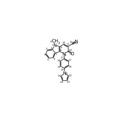 Cn1c2ccccc2c2c1cc(C#N)c(=O)n2-c1ccc(-n2cccc2)cc1